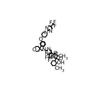 CC1CCCC(C(NC(=O)c2cnc(N3CC4(CCOCC4)c4cc(OC5CCN(c6ncc(C(F)(F)F)cn6)CC5)ccc43)nc2C(F)(F)F)(C(=O)O)C(C)C)C1